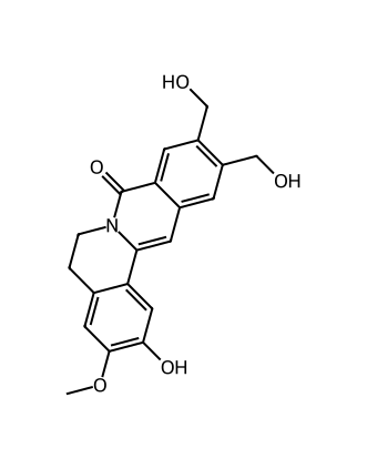 COc1cc2c(cc1O)-c1cc3cc(CO)c(CO)cc3c(=O)n1CC2